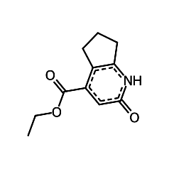 CCOC(=O)c1cc(=O)[nH]c2c1CCC2